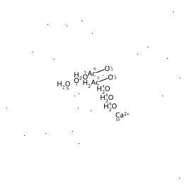 CC(=O)[O-].CC(=O)[O-].O.O.O.O.O.O.[Ca+2]